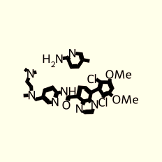 COc1cc(OC)c(Cl)c(-c2ccc(C(=O)Nc3ccc(CN(C)CCN(C)C)cn3)c3nccnc23)c1Cl.Cc1ccc(N)nc1